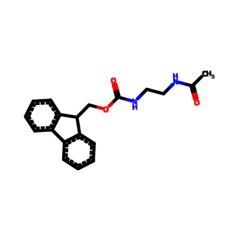 CC(=O)NCCNC(=O)OCC1c2ccccc2-c2ccccc21